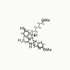 CC=C(NC12C=C1c1ccc(OC)nc1S2)N1C[C@@](CC)(CCCCCCOC)c2cc(S)ccc21